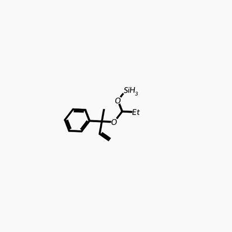 C=CC(C)(OC(CC)O[SiH3])c1ccccc1